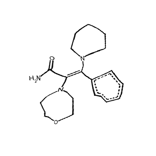 NC(=O)/C(=C(/c1ccccc1)N1CCCCC1)N1CCOCC1